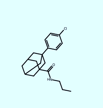 CCCNC(=O)C12CC3CC(C1)CC(c1ccc(Cl)cc1)(C3)C2